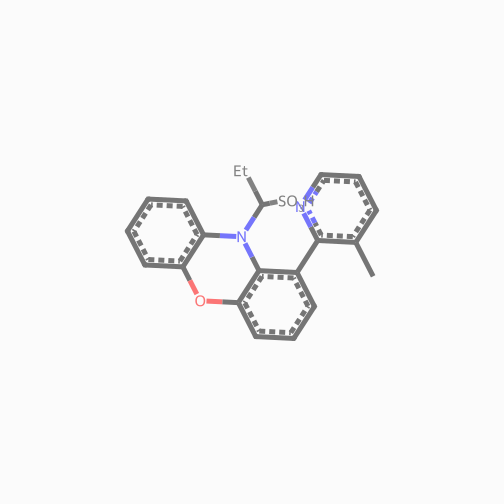 CCC(N1c2ccccc2Oc2cccc(-c3ncccc3C)c21)S(=O)(=O)O